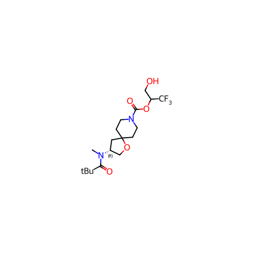 CN(C(=O)C(C)(C)C)[C@H]1COC2(CCN(C(=O)OC(CO)C(F)(F)F)CC2)C1